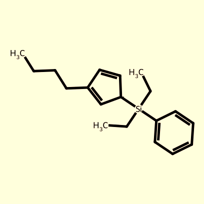 CCCCC1=C[C]([Si](CC)(CC)c2ccccc2)C=C1